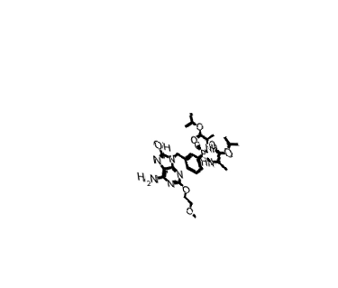 COCCOc1nc(N)c2nc(O)n(Cc3cccc(P(=O)(NC(C)C(=O)OC(C)C)NC(C)C(=O)OC(C)C)c3)c2n1